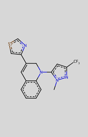 Cn1nc(C(F)(F)F)cc1N1CC(c2cscn2)=Cc2ccccc21